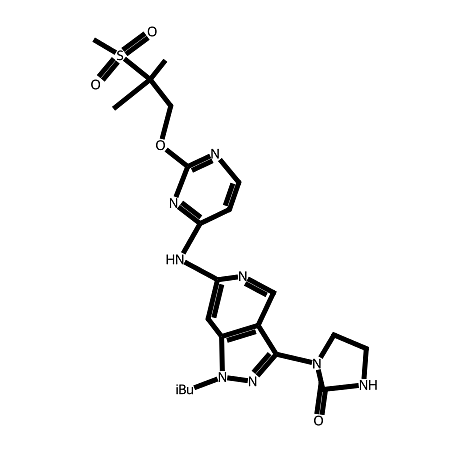 CCC(C)n1nc(N2CCNC2=O)c2cnc(Nc3ccnc(OCC(C)(C)S(C)(=O)=O)n3)cc21